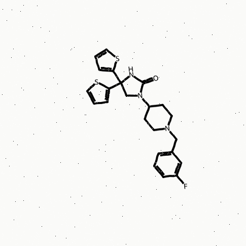 O=C1NC(c2cccs2)(c2cccs2)CN1C1CCN(Cc2cccc(F)c2)CC1